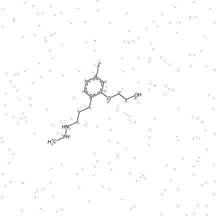 CPNCCCc1ccc(F)cc1OCCO